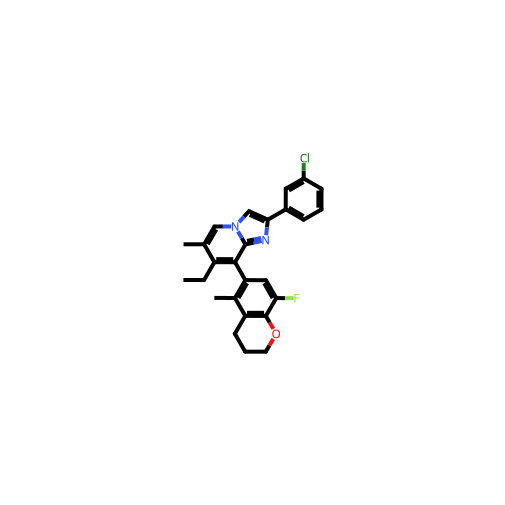 CCc1c(C)cn2cc(-c3cccc(Cl)c3)nc2c1-c1cc(F)c2c(c1C)CCCO2